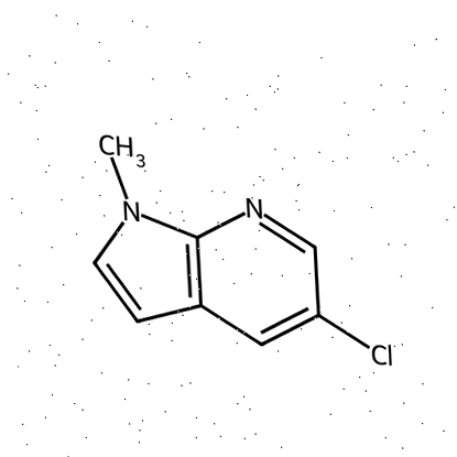 Cn1ccc2cc(Cl)cnc21